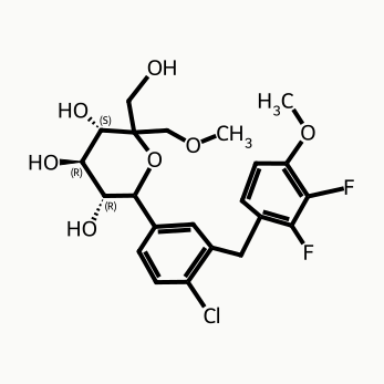 COCC1(CO)OC(c2ccc(Cl)c(Cc3ccc(OC)c(F)c3F)c2)[C@H](O)[C@@H](O)[C@@H]1O